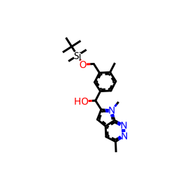 Cc1cc2cc(C(O)c3ccc(C)c(CO[Si](C)(C)C(C)(C)C)c3)n(C)c2nn1